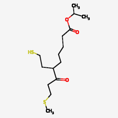 CSCCC(=O)C(CCS)CCCCC(=O)OC(C)C